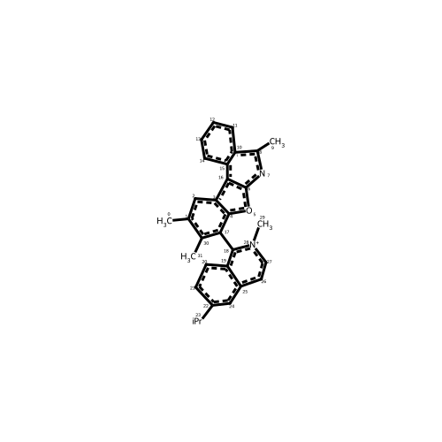 Cc1cc2c(oc3nc(C)c4ccccc4c32)c(-c2c3ccc(C(C)C)cc3cc[n+]2C)c1C